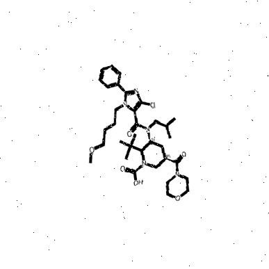 COCCCCn1c(-c2ccccc2)nc(Cl)c1C(=O)N(CC(C)C)[C@H]1C[C@@H](C(=O)N2CCOCC2)CN(C(=O)O)C1C(C)(C)C